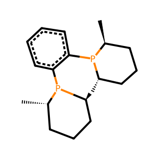 C[C@H]1CCC[C@H](C)P1c1ccccc1P1[C@@H](C)CCC[C@@H]1C